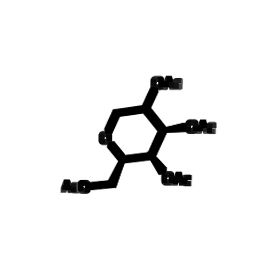 CC(=O)OC[C@H]1OC[C](OC(C)=O)[C@@H](OC(C)=O)[C@H]1OC(C)=O